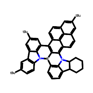 CC(C)(C)c1cc2ccc3c4c5c(c6ccc(c1)c2c36)N1c2c(cccc2C2CCCCC21)B5n1c2ccc(C(C)(C)C)cc2c2cc(C(C)(C)C)cc-4c21